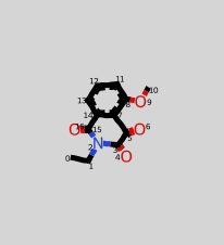 CCN1C(=O)C(=O)c2c(OC)cccc2C1=O